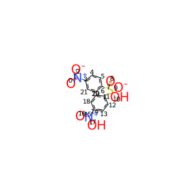 O=[N+]([O-])c1ccc(S(=O)([O-])(O)c2ccc([N+](=O)O)cc2)cc1